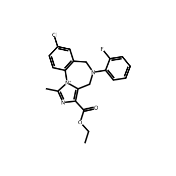 CCOC(=O)C1=C2CN(c3ccccc3F)Cc3cc(Cl)ccc3[N+]2C(C)=N1